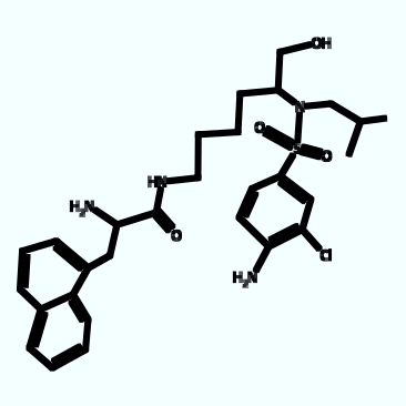 CC(C)CN(C(CO)CCCCNC(=O)C(N)Cc1cccc2ccccc12)S(=O)(=O)c1ccc(N)c(Cl)c1